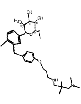 CS[C@H]1OC(c2ccc(C)c(Cc3ccc(OCCCNCC(C)(C)CN(C)C)cc3)c2)[C@H](O)[C@@H](O)[C@@H]1O